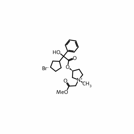 COC(=O)C[N@@+]1(C)CC[C@H](OC(=O)C(O)(c2ccccc2)C2CCCC2)C1.[Br-]